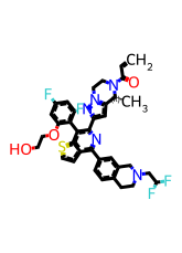 C=CC(=O)N1CCn2nc(-c3nc(-c4ccc5c(c4)CN(CC(F)F)CC5)c4ccsc4c3-c3c(F)cc(F)cc3OCCO)cc2[C@H]1C